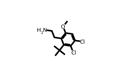 COc1cc(Cl)c(Cl)c(C(C)(C)C)c1CCN